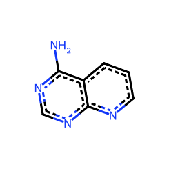 Nc1ncnc2ncccc12